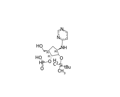 CC(C)(C)[Si](C)(C)OC1[C@H](Nc2ccncn2)C[C@H](CO)[C@H]1O[PH](=O)O